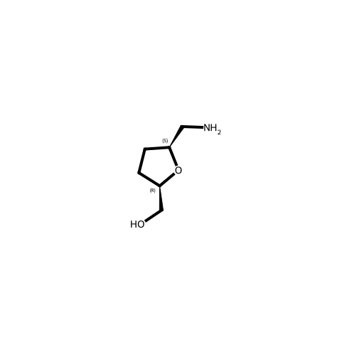 NC[C@@H]1CC[C@H](CO)O1